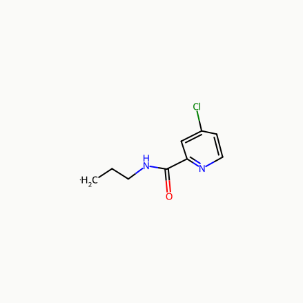 [CH2]CCNC(=O)c1cc(Cl)ccn1